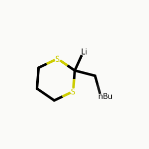 [Li][C]1(CCCCC)SCCCS1